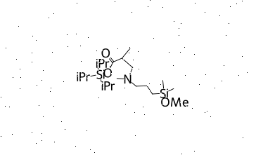 CO[Si](C)(C)CCCN(C)CC(C)C(=O)O[Si](C(C)C)(C(C)C)C(C)C